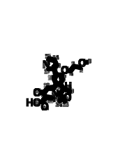 COCCCOc1cc2c(cc1-c1cccnc1)-c1cc(=O)c(C(=O)O)cn1[C@H]1[C@@H]2COC1(C)C